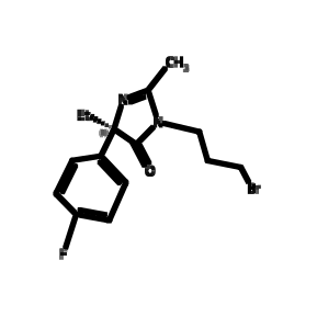 CC[C@]1(c2ccc(F)cc2)N=C(C)N(CCCBr)C1=O